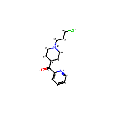 O=C(c1ccccn1)C1CCN(CCCCl)CC1